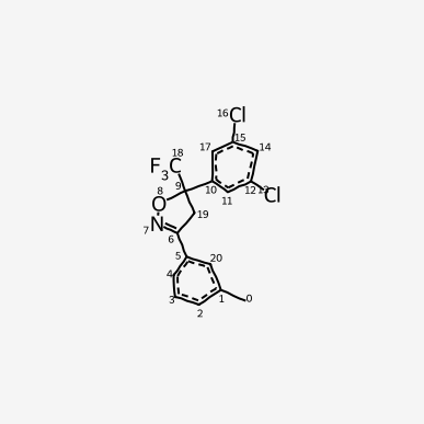 Cc1cccc(C2=NOC(c3cc(Cl)cc(Cl)c3)(C(F)(F)F)C2)c1